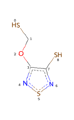 SCOc1nsnc1S